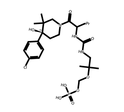 CC(C)C(NC(=O)NCC(C)(C)OCOP(=O)(O)O)C(=O)N1CC[C@](O)(c2ccc(Cl)cc2)C(C)(C)C1